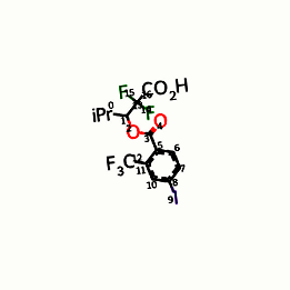 CC(C)C(OC(=O)c1ccc(I)cc1C(F)(F)F)C(F)(F)C(=O)O